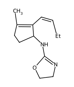 CC/C=C\C1=C(C)CCC1NC1=NCCO1